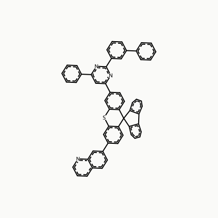 c1ccc(-c2cccc(-c3nc(-c4ccccc4)cc(-c4ccc5c(c4)Sc4cc(-c6ccc7cccnc7c6)ccc4C54c5ccccc5-c5ccccc54)n3)c2)cc1